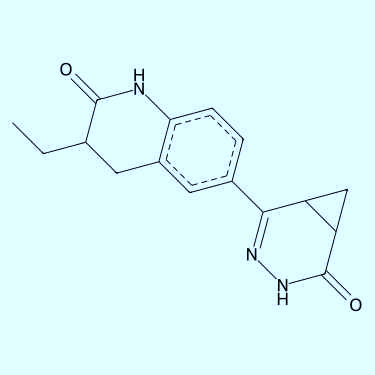 CCC1Cc2cc(C3=NNC(=O)C4CC34)ccc2NC1=O